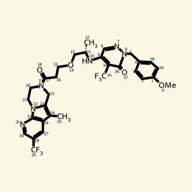 COc1ccc(Cn2ncc(N[C@@H](C)COCCC(=O)N3CCn4c(c(C)c5cc(C(F)(F)F)cnc54)C3)c(C(F)(F)F)c2=O)cc1